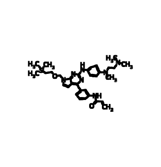 C=CC(=O)Nc1cccc(-c2nc(Nc3ccc(N(C)CCN(C)C)cc3)nc3c2ccn3COCC[Si](C)(C)C)c1